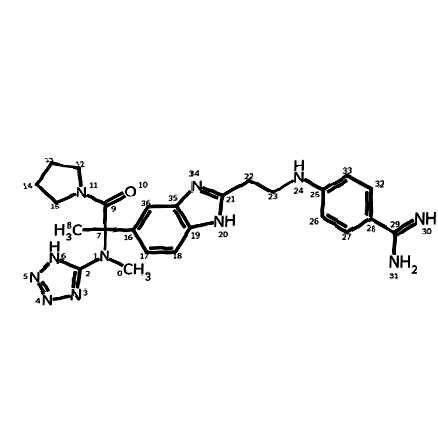 CN(c1nnn[nH]1)C(C)(C(=O)N1CCCC1)c1ccc2[nH]c(CCNc3ccc(C(=N)N)cc3)nc2c1